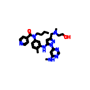 CCCCN(C(=O)c1ccncc1)c1ccc(C)c(Nc2cc(CN(C)CCO)nn2-c2cc(NC)ncn2)c1